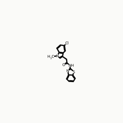 Cn1cc(CC(=O)Nc2nc3ccccc3s2)c2cc(Cl)ccc21